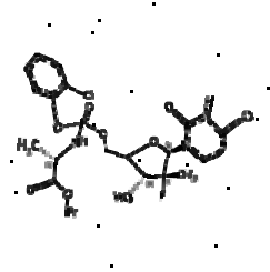 CC(C)OC(=O)[C@H](C)NP(=O)(OCC1O[C@@H](n2ccc(=O)[nH]c2=O)[C@](C)(F)[C@@H]1O)Oc1ccccc1Cl